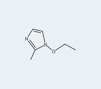 CCOn1ccnc1C